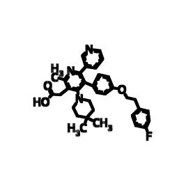 Cc1nc(-c2cccnc2)c(-c2ccc(OCCc3ccc(F)cc3)cc2)c(N2CCC(C)(C)CC2)c1CC(=O)O